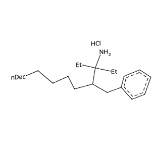 CCCCCCCCCCCCCCC(Cc1ccccc1)C(N)(CC)CC.Cl